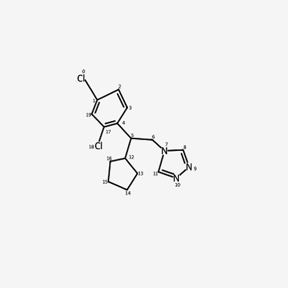 Clc1ccc(C(Cn2cnnc2)C2CCCC2)c(Cl)c1